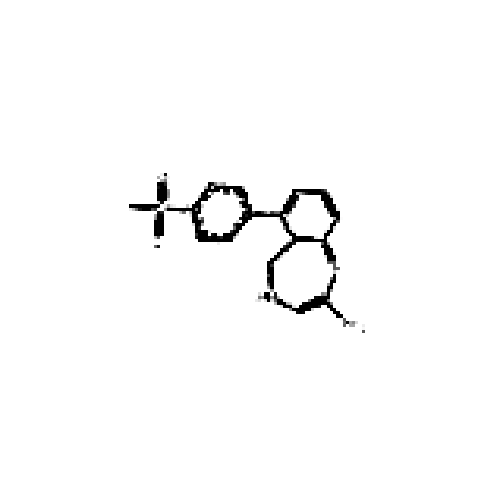 CS(=O)(=O)c1ccc(C2=CC=CC3=NC(N)=CNCC23)cc1